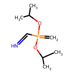 C=P(C=N)(OC(C)C)OC(C)C